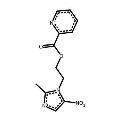 Cc1ncc([N+](=O)[O-])n1CCOC(=O)c1ccccn1